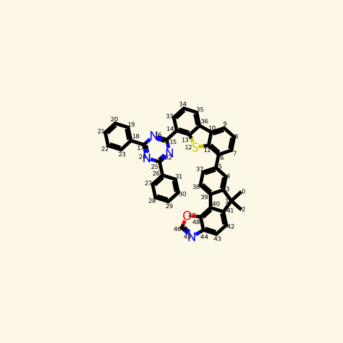 CC1(C)c2cc(-c3cccc4c3sc3c(-c5nc(-c6ccccc6)nc(-c6ccccc6)n5)cccc34)ccc2-c2c1ccc1ncoc21